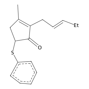 CC/C=C/CC1=C(C)CC(Sc2ccccc2)C1=O